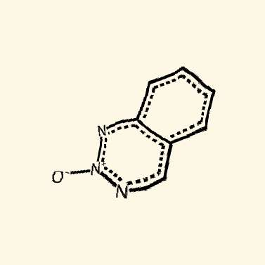 [O-][n+]1ncc2ccccc2n1